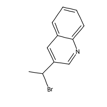 CC(Br)c1cnc2ccccc2c1